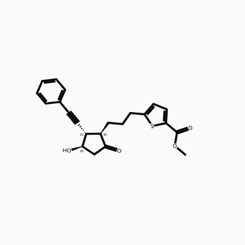 COC(=O)c1ccc(CCC[C@H]2C(=O)C[C@@H](O)[C@@H]2C#Cc2ccccc2)s1